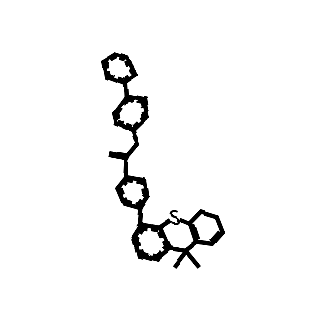 C=C(Cc1ccc(-c2ccccc2)cc1)c1ccc(-c2cccc3c2SC2=C(C=CCC2)C3(C)C)cc1